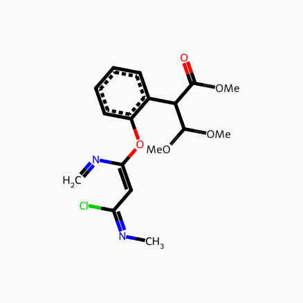 C=N/C(=C\C(Cl)=N/C)Oc1ccccc1C(C(=O)OC)C(OC)OC